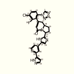 O=C1C=C(c2c(-n3cnnn3)ccc(Cl)c2F)CC2CCC(c3ncc(-c4ccnc(-c5ccn[nH]5)c4)[nH]3)N12